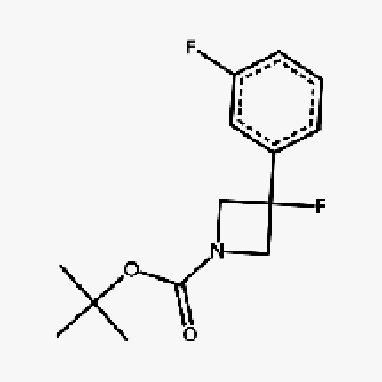 CC(C)(C)OC(=O)N1CC(F)(c2cccc(F)c2)C1